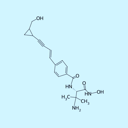 CC(C)(N)[C@H](NC(=O)c1ccc(C=CC#CC2CC2CO)cc1)C(=O)NO